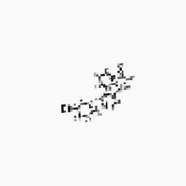 CCc1ccc(CN2CCC3C(C2)c2cccc4c2N3CCN4C)cc1